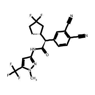 Cn1nc(NC(=O)[C@H](c2ccc(C#N)c(C#N)c2)[C@@H]2CCC(F)(F)C2)cc1C(F)(F)F